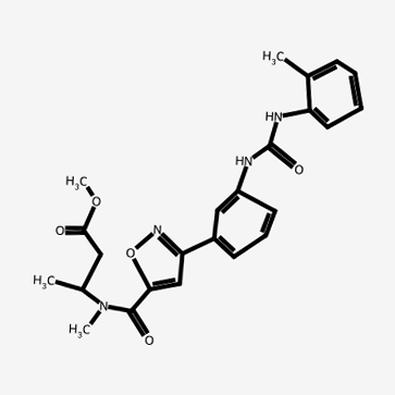 COC(=O)CC(C)N(C)C(=O)c1cc(-c2cccc(NC(=O)Nc3ccccc3C)c2)no1